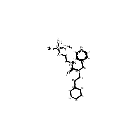 CC(C)(C)[Si](C)(C)OCCNC(=O)N(CCC1CCCCC1)Cc1ccncc1